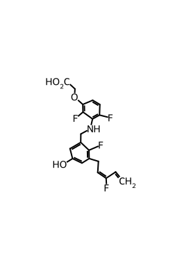 C=C/C(F)=C\Cc1cc(O)cc(CNc2c(F)ccc(OCC(=O)O)c2F)c1F